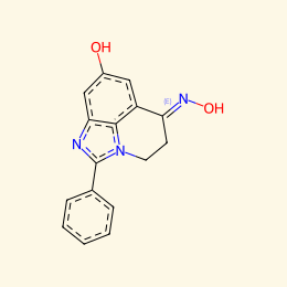 O/N=C1\CCn2c(-c3ccccc3)nc3cc(O)cc1c32